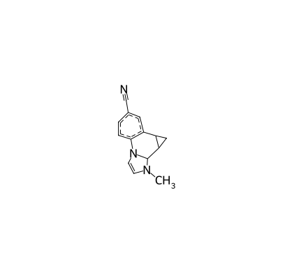 CN1C=CN2c3ccc(C#N)cc3C3CC3C12